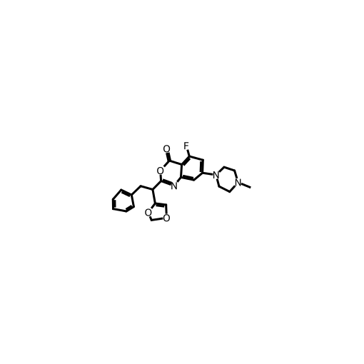 CN1CCN(c2cc(F)c3c(=O)oc(C(Cc4ccccc4)C4=COCO4)nc3c2)CC1